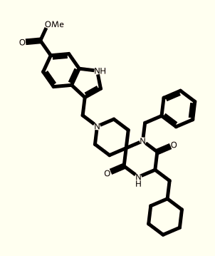 COC(=O)c1ccc2c(CN3CCC4(CC3)C(=O)NC(CC3CCCCC3)C(=O)N4Cc3ccccc3)c[nH]c2c1